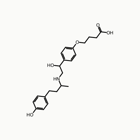 CC(CCc1ccc(O)cc1)NCC(O)c1ccc(OCCCC(=O)O)cc1